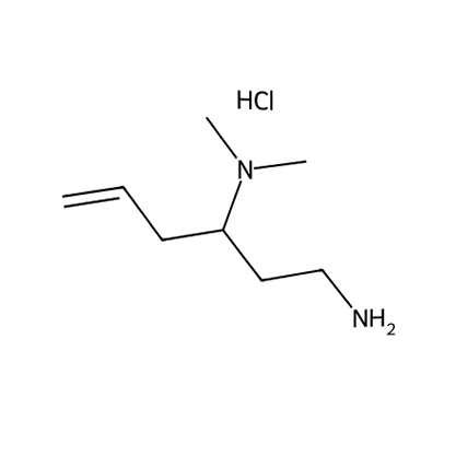 C=CCC(CCN)N(C)C.Cl